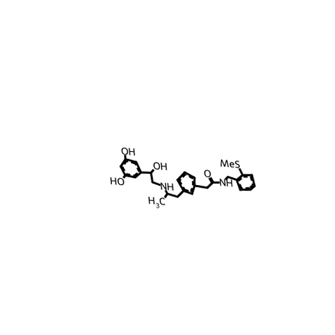 CSc1ccccc1CNC(=O)Cc1cccc(CC(C)NCC(O)c2cc(O)cc(O)c2)c1